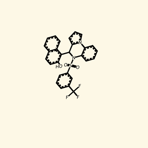 O=S(=O)(c1cccc(C(F)(F)F)c1)N1c2ccccc2-n2cccc2C1c1c(O)ccc2ccccc12